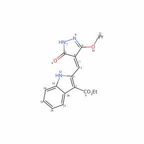 CCOC(=O)c1c(/C=C2\C(=O)NN=C2OC(C)C)[nH]c2ccccc12